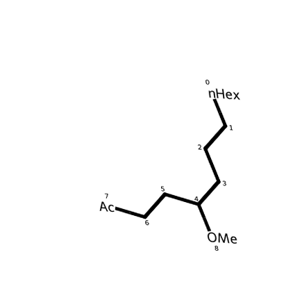 CCCCCCCCCC(CCC(C)=O)OC